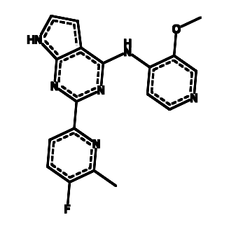 COc1cnccc1Nc1nc(-c2ccc(F)c(C)n2)nc2[nH]ccc12